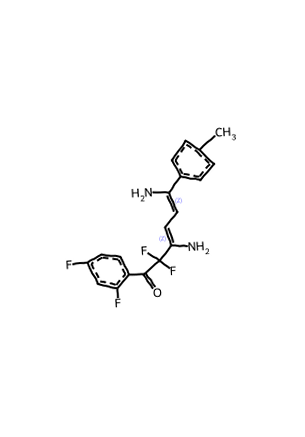 Cc1ccc(/C(N)=C/C=C(\N)C(F)(F)C(=O)c2ccc(F)cc2F)cc1